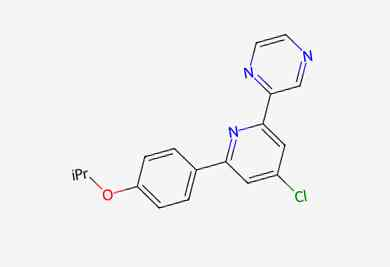 CC(C)Oc1ccc(-c2cc(Cl)cc(-c3cnccn3)n2)cc1